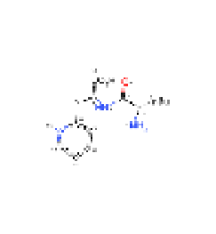 CCCC[C@H](N)C(=O)N[C@@H](Cc1ccccn1)C(=O)O